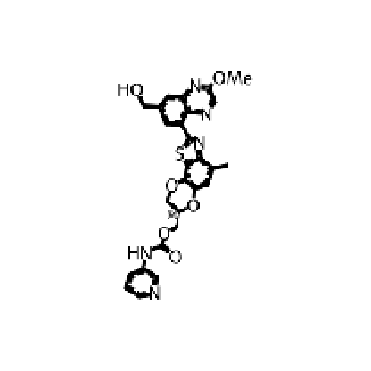 COc1cnc2c(-c3nc4c(C)cc5c(c4s3)OC[C@H](COC(=O)Nc3cccnc3)O5)cc(CO)cc2n1